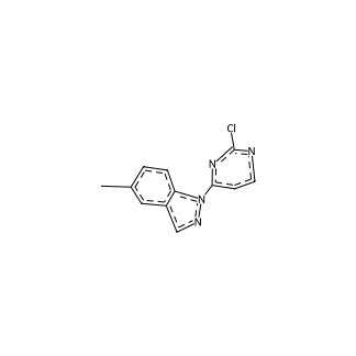 Cc1ccc2c(cnn2-c2ccnc(Cl)n2)c1